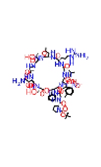 CC[C@H](C)[C@@H]1NC(=O)[C@@H](CCCNC(=N)N)NC(=O)[C@H](CC(C)C)NC(=O)[C@H]([C@H](O)C(C)C)NC(=O)[C@@H](NC(=O)[C@H](Cc2ccc([N+](=O)[O-])cc2)NC(=O)[C@H]2CCCN2C(=O)OC(C)(C)C)[C@@H](c2ccccc2)OC(=O)[C@H](CO)NC(=O)[C@H]([C@H](O)C(N)=O)NC(=O)CNC(=O)[C@H]([C@H](C)O)NC1=O